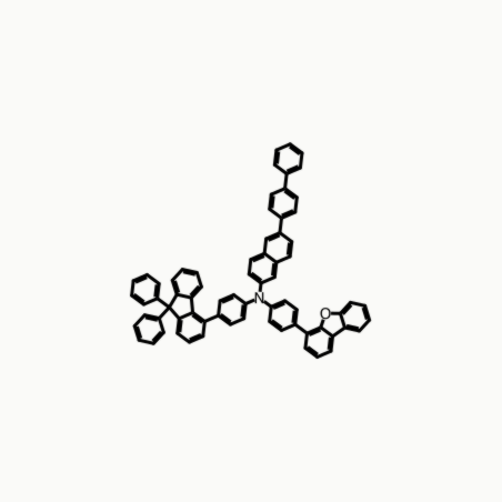 c1ccc(-c2ccc(-c3ccc4cc(N(c5ccc(-c6cccc7c6-c6ccccc6C7(c6ccccc6)c6ccccc6)cc5)c5ccc(-c6cccc7c6oc6ccccc67)cc5)ccc4c3)cc2)cc1